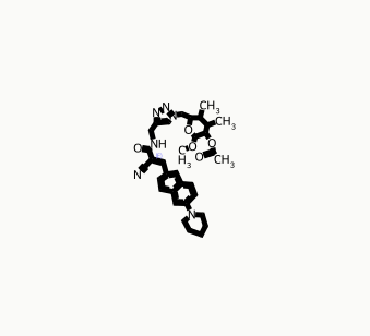 COC1OC(Cn2cc(CNC(=O)/C(C#N)=C/c3ccc4cc(N5CCCCC5)ccc4c3)nn2)C(C)C(C)C1OC(C)=O